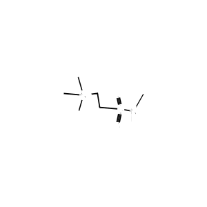 CNS(=O)(=O)CC[N+](C)(C)C